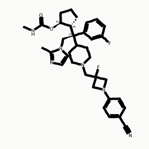 CNC(=O)O[C@H]1CCC[C@@H]1[C@](Cn1ccnc1C)(c1cccc(F)c1)C1CCN(CC2(F)CN(c3ccc(C#N)cc3)C2)CC1